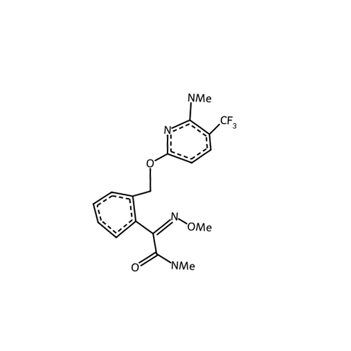 CNC(=O)C(=NOC)c1ccccc1COc1ccc(C(F)(F)F)c(NC)n1